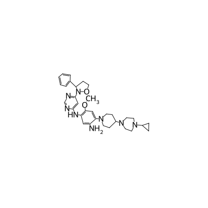 COc1cc(N2CCC(N3CCN(C4CC4)CC3)CC2)c(N)cc1Nc1cc(N2OCCC2c2ccccc2)ncn1